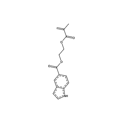 C=C(C)C(=O)OCCOC(=O)c1ccc2[nH]ccc2c1